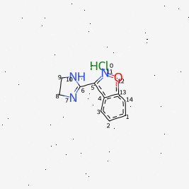 Cl.c1ccc2c(C3=NCCN3)noc2c1